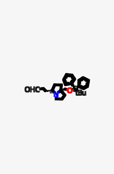 CC(C)(C)[Si](OC[C@]12CCCN1[C@H](CCC=O)CC2)(c1ccccc1)c1ccccc1